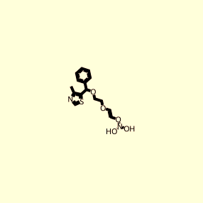 Cc1ncsc1C(OCCO/C=C/ON(O)O)c1ccccc1